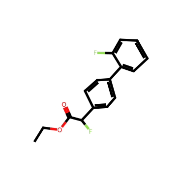 CCOC(=O)C(F)c1ccc(-c2ccccc2F)cc1